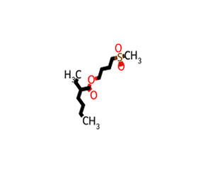 CCCCC(CC)C(=O)OCCCCS(C)(=O)=O